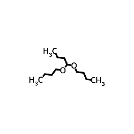 CCCCO[C](CCC)OCCCC